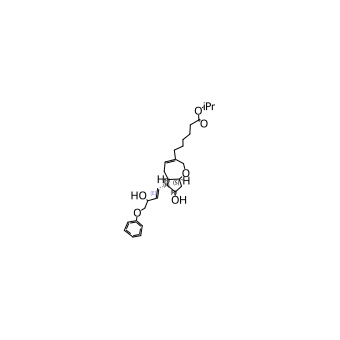 CC(C)OC(=O)CCCCCC1=CC[C@@H]2[C@@H](/C=C/C(O)COc3ccccc3)[C@H](O)C[C@@H]2OC1